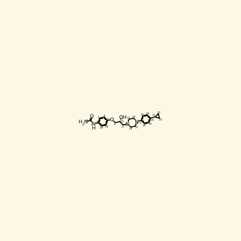 NC(=O)Nc1ccc(OC[C@H](O)CN2CCN(c3ccc(C4CC4)cc3)CC2)cc1